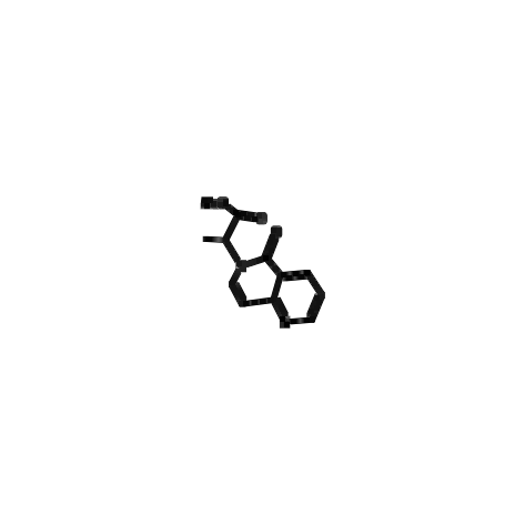 COC(=O)C(C)n1ccc2ncccc2c1=O